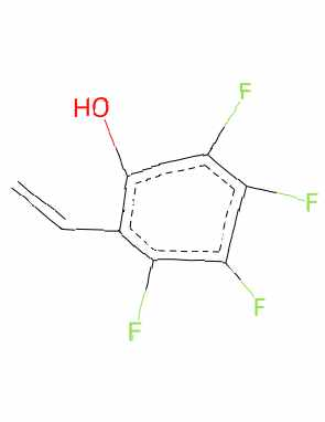 C=Cc1c(O)c(F)c(F)c(F)c1F